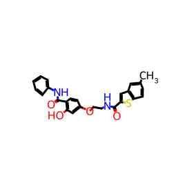 Cc1ccc2sc(C(=O)NCCOc3ccc(C(=O)Nc4ccccc4)c(O)c3)cc2c1